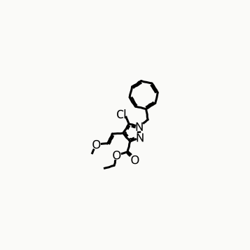 CCOC(=O)c1nn(CC2=C/C=C\C=C/C=C\2)c(Cl)c1/C=C/OC